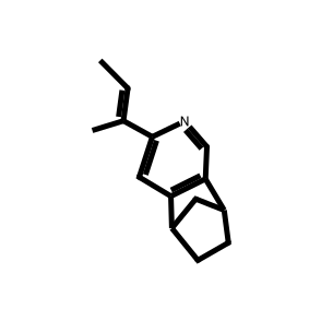 C/C=C(\C)c1cc2c(cn1)C1CCC2C1